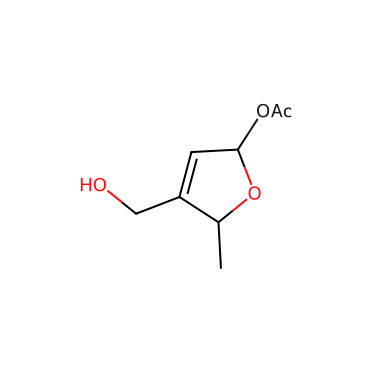 CC(=O)OC1C=C(CO)C(C)O1